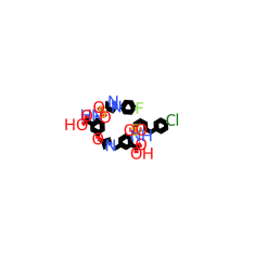 O=C(O)c1cc(CN2CC(Oc3ccc(NS(=O)(=O)c4cnn(-c5ccc(F)cc5)c4)c(C(=O)O)c3)C2)ccc1NS(=O)(=O)CCCCCc1ccc(Cl)cc1